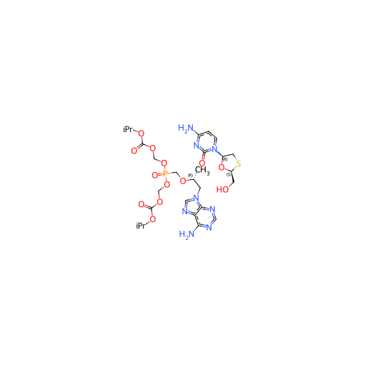 CC(C)OC(=O)OCOP(=O)(CO[C@H](C)Cn1cnc2c(N)ncnc21)OCOC(=O)OC(C)C.Nc1ccn([C@H]2CS[C@@H](CO)O2)c(=O)n1